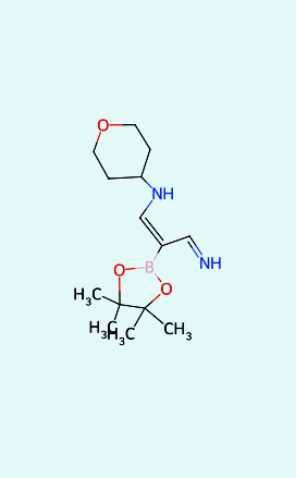 CC1(C)OB(/C(C=N)=C/NC2CCOCC2)OC1(C)C